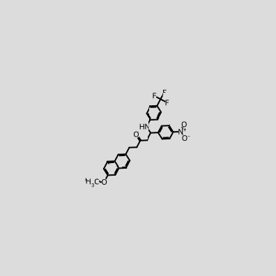 COc1ccc2cc(CCC(=O)CC(Nc3ccc(C(F)(F)F)cc3)c3ccc([N+](=O)[O-])cc3)ccc2c1